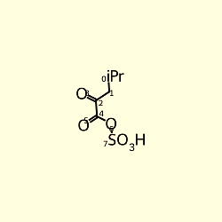 CC(C)CC(=O)C(=O)OS(=O)(=O)O